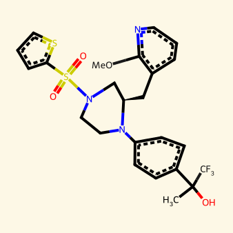 COc1ncccc1C[C@@H]1CN(S(=O)(=O)c2cccs2)CCN1c1ccc(C(C)(O)C(F)(F)F)cc1